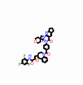 O=C(Nc1c(F)cc(F)cc1F)c1cc2c(o1)-c1ccccc1N(C(=O)c1ccc(NC(=O)c3cc4c(nc3N3CC5(CCOCC5)C3)CCC4)cc1)CC2